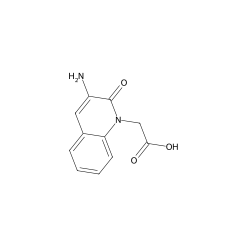 Nc1cc2ccccc2n(CC(=O)O)c1=O